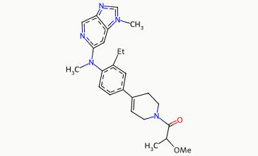 CCc1cc(C2=CCN(C(=O)C(C)OC)CC2)ccc1N(C)c1cc2c(cn1)ncn2C